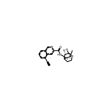 C#Cc1cccc2cnc(C(=O)N[C@@H]3C4CCN(CC4)[C@H]3C)cc12